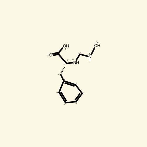 O=C(O)[C@@H](Cc1ccccc1)NCNO